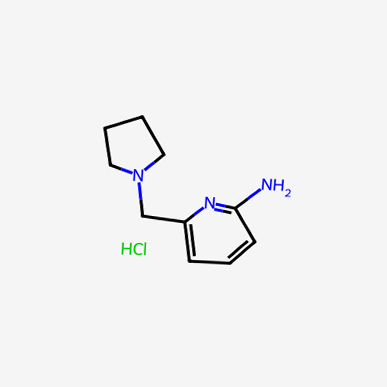 Cl.Nc1cccc(CN2CCCC2)n1